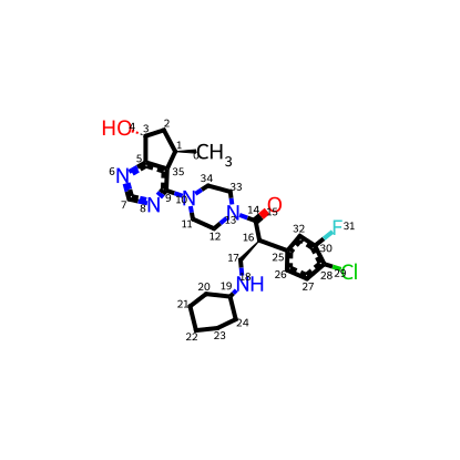 C[C@@H]1C[C@@H](O)c2ncnc(N3CCN(C(=O)[C@H](CNC4CCCCC4)c4ccc(Cl)c(F)c4)CC3)c21